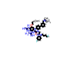 CCCCCCCCCCCCOc1ccc(NC(=N)N)cc1NC(=N)N.CN(C)Cc1cccc(-c2ccc3ncc(=O)n(Cc4nc5cc(F)ccc5n4CCCCF)c3c2)c1